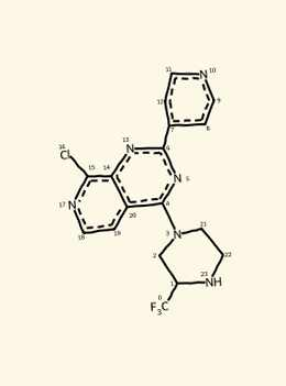 FC(F)(F)C1CN(c2nc(-c3ccncc3)nc3c(Cl)nccc23)CCN1